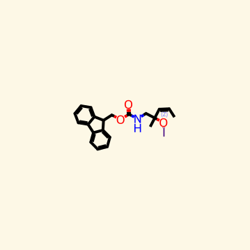 C/C=C\C(C)(CNC(=O)OCC1c2ccccc2-c2ccccc21)OI